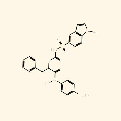 CCN(C(=O)C(Cc1ccccc1)NC(=O)NS(=O)(=O)c1ccc2c(ccn2CC)c1)c1ccc(OC)cc1